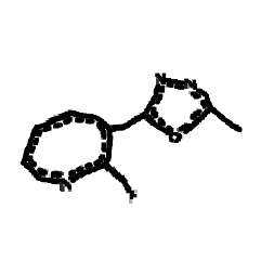 Cc1nnc(-c2cccnc2F)o1